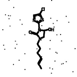 CC=CCCCN1CC(O)N(c2ncc(Cl)s2)C1=O